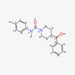 Cc1ccc(N(C)C(=O)N2CCC(C(=O)c3ccccc3)CC2)cc1